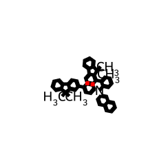 CC1(C)c2ccccc2-c2ccc(-c3ccc(N(c4ccc5ccccc5c4)c4ccccc4-c4cccc5c4C(C)(C)c4ccccc4-5)cc3)cc21